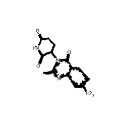 Cc1nc2cc([N+](=O)[O-])ccc2c(=O)n1C1CCC(=O)NC1=O